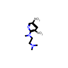 CN(C)CCN(C)c1ncc([N+](=O)[O-])cc1[N+](=O)[O-]